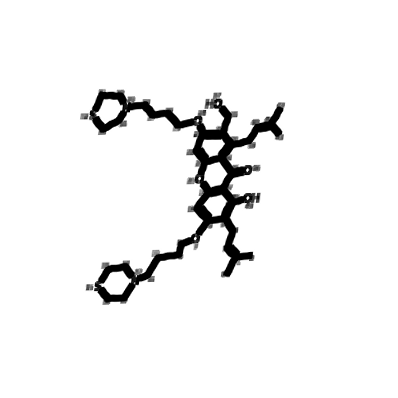 CC(C)=CCc1c(OCCCCN2CCSCC2)cc2oc3cc(OCCCCN4CCSCC4)c(CO)c(CC=C(C)C)c3c(=O)c2c1O